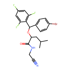 CC(C)CC(OC(c1ccc(Br)cc1)c1c(F)cc(F)cc1F)C(=O)NCC#N